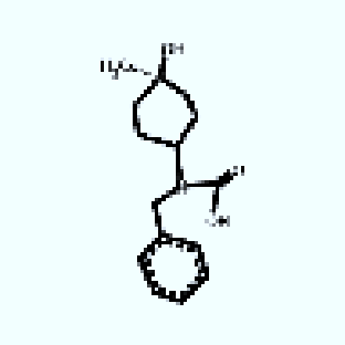 C[C@]1(O)CC[C@@H](N(Cc2ccccc2)C(=O)O)CC1